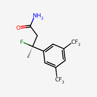 C[C@](F)(CC(N)=O)c1cc(C(F)(F)F)cc(C(F)(F)F)c1